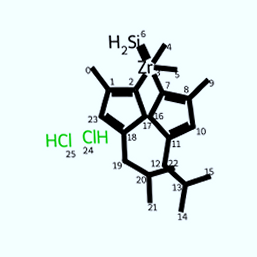 CC1=[C]([Zr]([CH3])([CH3])(=[SiH2])[C]2=C(C)C=C(CC(C)C)C2)CC(CC(C)C)=C1.Cl.Cl